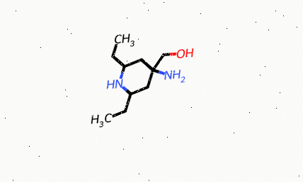 CCC1CC(N)(CO)CC(CC)N1